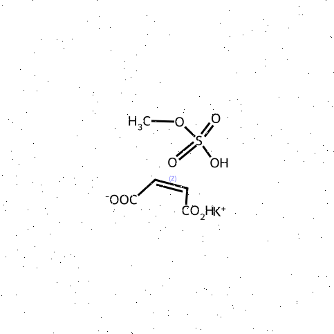 COS(=O)(=O)O.O=C([O-])/C=C\C(=O)O.[K+]